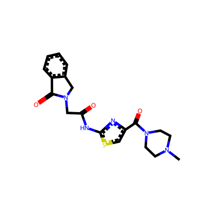 CN1CCN(C(=O)c2csc(NC(=O)CN3Cc4ccccc4C3=O)n2)CC1